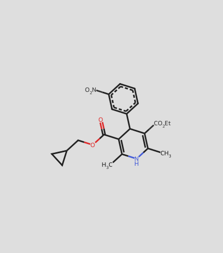 CCOC(=O)C1=C(C)NC(C)=C(C(=O)OCC2CC2)C1c1cccc([N+](=O)[O-])c1